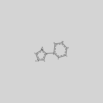 c1ccc(-c2cscn2)cc1